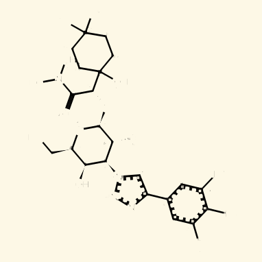 CN(C)C(=O)[C@@H](S[C@@H]1O[C@H](CO)[C@H](O)[C@H](n2cc(-c3cc(F)c(F)c(F)c3)nn2)[C@H]1O)C1(O)CCC(F)(F)CC1